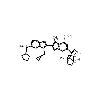 COc1cc(C(=O)N2[C@H]3CC[C@@H]2[C@H](N)C3)cc2nc(-c3cc4ccc([C@@H](C)N5CCCC5)nc4n3CC3CC3)c(C)n12